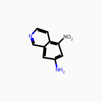 Nc1cc([N+](=O)[O-])c2ccncc2c1